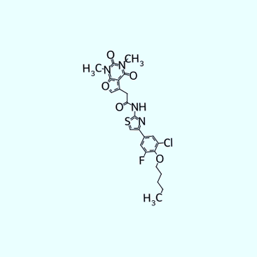 CCCCCOc1c(F)cc(-c2csc(NC(=O)Cc3coc4c3c(=O)n(C)c(=O)n4C)n2)cc1Cl